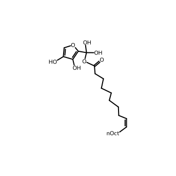 CCCCCCCC/C=C\CCCCCCCC(=O)OC(O)(O)c1occ(O)c1O